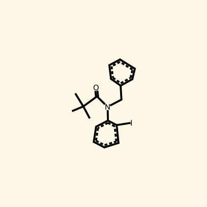 CC(C)(C)C(=O)N(Cc1ccccc1)c1ccccc1I